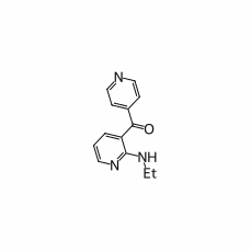 CCNc1ncccc1C(=O)c1ccncc1